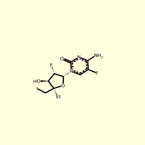 CC[C@@]1(CI)O[C@@H](n2cc(F)c(N)nc2=O)[C@@H](F)[C@@H]1O